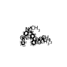 CCc1nc2ccc(NC(=O)N3CCCC3)cc2n1Cc1ccc(-c2ccccc2OC(=O)OC(C)(C)C)cc1